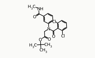 CNC(=O)c1cccc(N(CC(=O)OC(C)(C)C)C(=O)c2c(Cl)cccc2Cl)c1